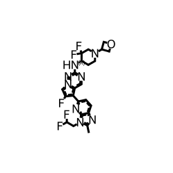 Cc1nc2ccc(-c3c(F)cn4nc(N[C@@H]5CCN(C6COC6)CC5(F)F)ncc34)nc2n1CC(F)F